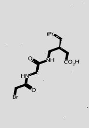 CC(C)C[C@H](CNC(=O)CNC(=O)CBr)CC(=O)O